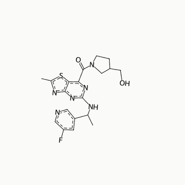 Cc1nc2nc(NC(C)c3cncc(F)c3)nc(C(=O)N3CCC(CO)C3)c2s1